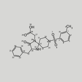 Cc1cccc(S(=O)(=O)N2CCC3(CC2)NC(Cc2ccccc2)C(=O)N3CC(=O)O)c1